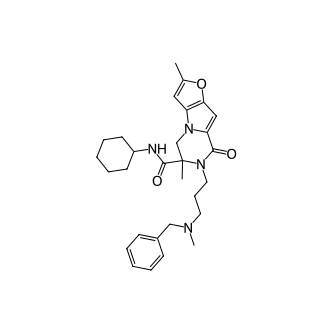 Cc1cc2c(cc3n2CC(C)(C(=O)NC2CCCCC2)N(CCCN(C)Cc2ccccc2)C3=O)o1